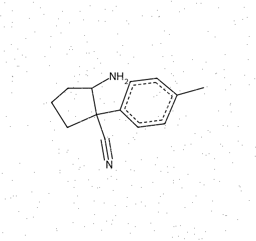 Cc1ccc(C2(C#N)CCCC2N)cc1